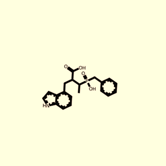 CC(C(Cc1cccc2[nH]ccc12)C(=O)O)P(=O)(O)Cc1ccccc1